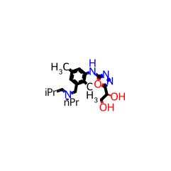 CCCN(Cc1cc(C)cc(Nc2nnc([C@@H](O)CO)o2)c1C)CC(C)C